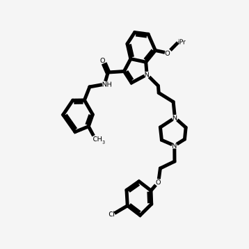 Cc1cccc(CNC(=O)c2cn(CCCN3CCN(CCOc4ccc(Cl)cc4)CC3)c3c(OC(C)C)cccc23)c1